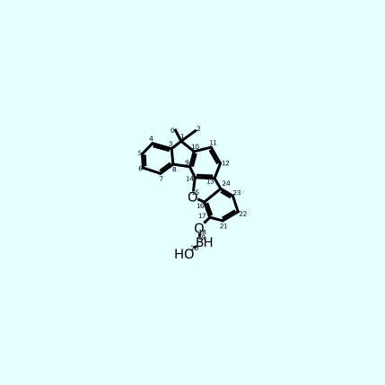 CC1(C)c2ccccc2-c2c1ccc1c2oc2c(OBO)cccc21